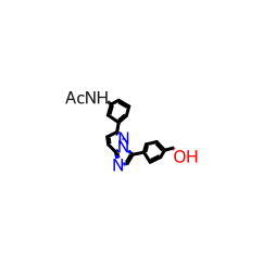 CC(=O)Nc1cccc(-c2ccc3ncc(-c4ccc(CO)cc4)n3n2)c1